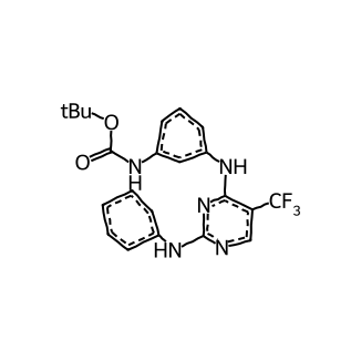 CC(C)(C)OC(=O)Nc1cccc(Nc2nc(Nc3ccccc3)ncc2C(F)(F)F)c1